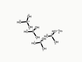 OB(O)O.OB(O)O.OB(O)O.OB(O)O.[Tm]